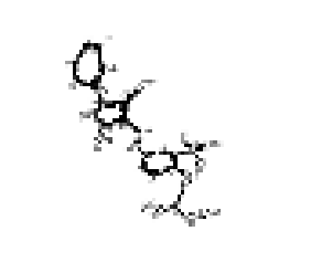 COC(C)Oc1ccc(N=Nc2c(C#N)[nH]n(-c3ccccc3)c2=O)cc1S(=O)(=O)Cl